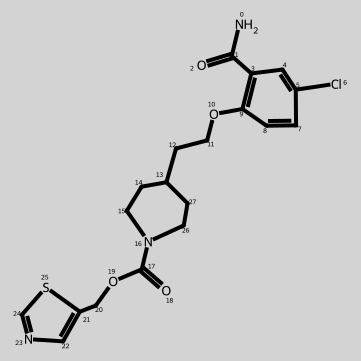 NC(=O)c1cc(Cl)ccc1OCCC1CCN(C(=O)OCc2cncs2)CC1